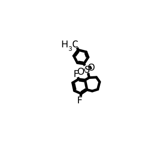 Cc1ccc(S(=O)(=O)C2CCCCc3c(F)ccc(F)c32)cc1